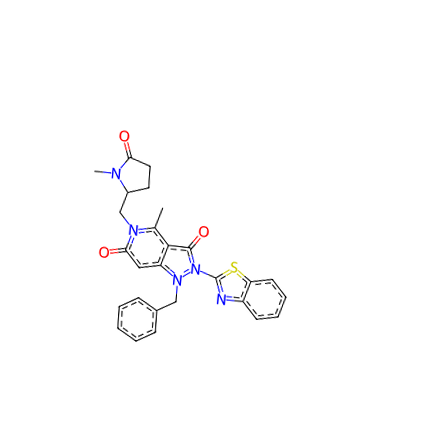 Cc1c2c(=O)n(-c3nc4ccccc4s3)n(Cc3ccccc3)c2cc(=O)n1CC1CCC(=O)N1C